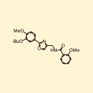 COc1ccc(-c2nc(CNC(=O)c3ccccc3OC)co2)cc1OCC(C)C